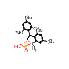 Cc1cc(C(C)(C)C)cc(C(C)(C)C)c1C(CO[PH](=O)O)c1c(C)cc(C(C)(C)C)cc1C(C)(C)C